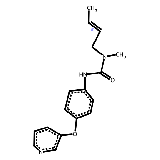 C/C=C/CN(C)C(=O)Nc1ccc(Oc2cccnc2)cc1